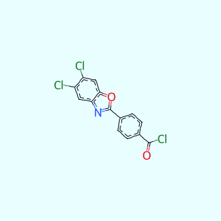 O=C(Cl)c1ccc(-c2nc3cc(Cl)c(Cl)cc3o2)cc1